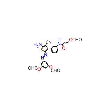 N#Cc1c(N)sc(N=Nc2cc(OC=O)cc(OC=O)c2)c1-c1cccc(NC(=O)CCOC=O)c1